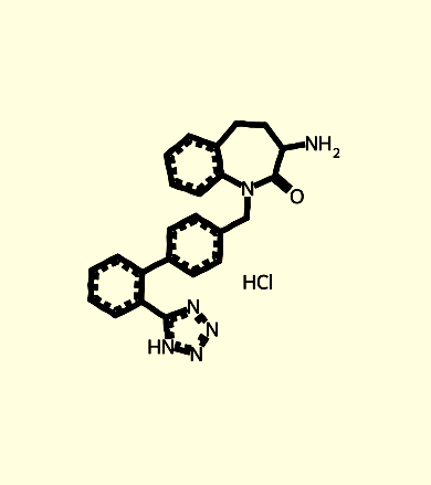 Cl.NC1CCc2ccccc2N(Cc2ccc(-c3ccccc3-c3nnn[nH]3)cc2)C1=O